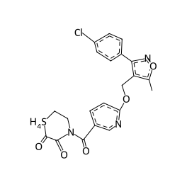 Cc1onc(-c2ccc(Cl)cc2)c1COc1ccc(C(=O)N2CC[SH4]C(=O)C2=O)cn1